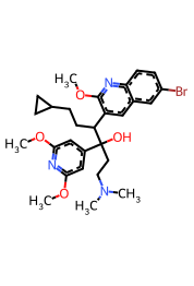 COc1cc(C(O)(CCN(C)C)C(CCC2CC2)c2cc3cc(Br)ccc3nc2OC)cc(OC)n1